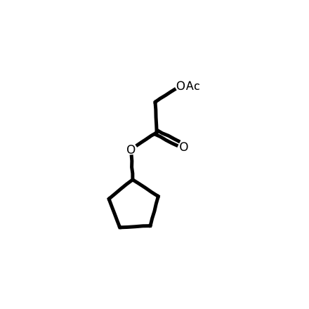 CC(=O)OCC(=O)OC1CCCC1